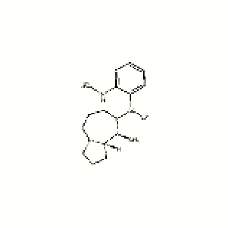 C[C@H]1[C@@H]2CCCN2CCCN1[S+]([O-])c1ccccc1NO